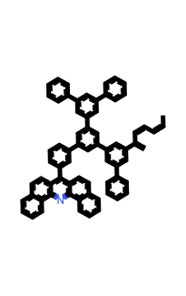 C=C(/C=C\C=C/C)c1cc(-c2ccccc2)cc(-c2cc(-c3cc(-c4ccccc4)cc(-c4ccccc4)c3)cc(-c3cccc(-c4c5ccc6ccccc6c5nc5c4ccc4ccccc45)c3)c2)c1